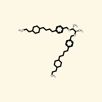 CCCC1CCC(CCCCc2ccc(CO[C@H](C)[C@@H](C)OCc3ccc(CCCCC4CCC(CCC)CC4)cc3)cc2)CC1